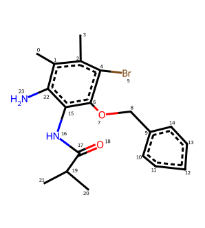 Cc1c(C)c(Br)c(OCc2ccccc2)c(NC(=O)C(C)C)c1N